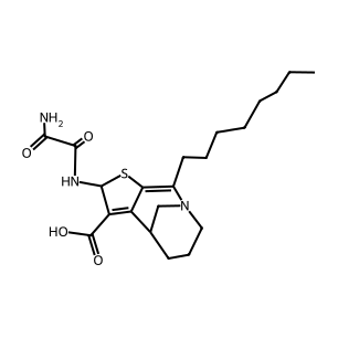 CCCCCCCCC1=C2SC(NC(=O)C(N)=O)C(C(=O)O)=C2C2CCCN1C2